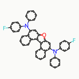 Fc1ccc(N(c2ccccc2)c2cc3oc4cc(N(c5ccccc5)c5ccc(F)cc5)c5ccccc5c4c3c3ccccc23)cc1